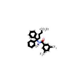 CCOC(=O)CCCC(c1ccccc1)(c1ccccc1)N(C)C(=O)c1cc(C(F)(F)F)cc(C(F)(F)F)c1